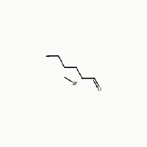 CBr.CCCCCC=O